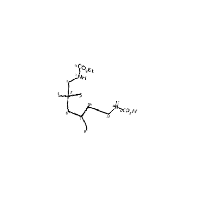 [CH2]COC(=O)NCC(C)(C)CC(C)CCNC(=O)O